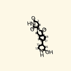 O=C1CCC(N2Cc3cc(C4CCNC(O)C4)ccc3C2=O)C(=O)N1